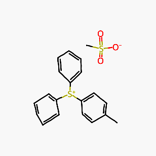 CS(=O)(=O)[O-].Cc1ccc([S+](c2ccccc2)c2ccccc2)cc1